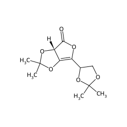 CC1(C)OCC(C2=C3OC(C)(C)O[C@@H]3C(=O)O2)O1